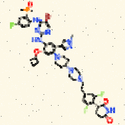 Cn1cc(-c2cc(Nc3ncc(Br)c(Nc4ccc(F)cc4P(C)(C)=O)n3)c(OC3CCC3)cc2N2CCC(N3CCN(CCc4cc(F)c([C@H]5CCC(=O)NC5=O)c(F)c4)CC3)CC2)cn1